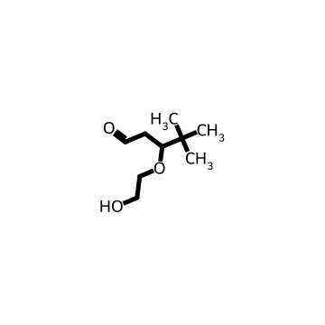 CC(C)(C)C(CC=O)OCCO